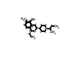 CCC(C)N1CCC([C@@H]2Cc3c(ccc(C)c3O)[C@H](CN)O2)CC1